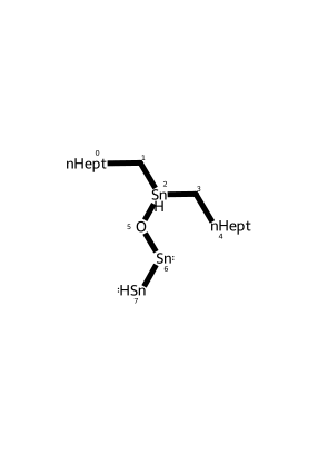 CCCCCCC[CH2][SnH]([CH2]CCCCCCC)[O][Sn][SnH]